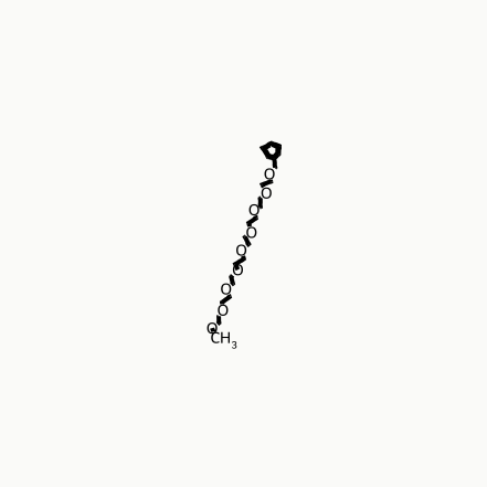 COCCOCCOCCOCCOCCOCCOCCOCCOCc1ccccc1